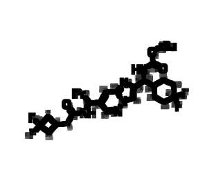 CC(C)C(NC(=O)CC1CC(F)(F)C1)c1cnn2cc([C@@H](NC(=O)OC(C)(C)C)C3CCC(F)(F)CC3)nc2c1